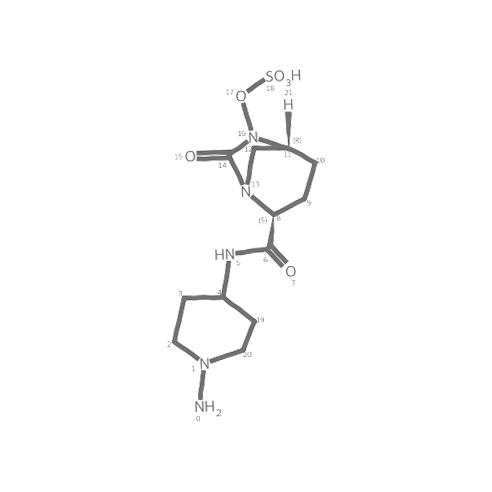 NN1CCC(NC(=O)[C@@H]2CC[C@@H]3CN2C(=O)N3OS(=O)(=O)O)CC1